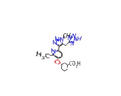 Cc1nc(-c2nnn(C)c2Cc2nn[nH]n2)ccc1OC1CCC[C@H](C(=O)O)C1